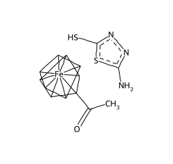 CC(=O)[C]12[CH]3[CH]4[CH]5[CH]1[Fe]45321678[CH]2[CH]1[CH]6[CH]7[CH]28.Nc1nnc(S)s1